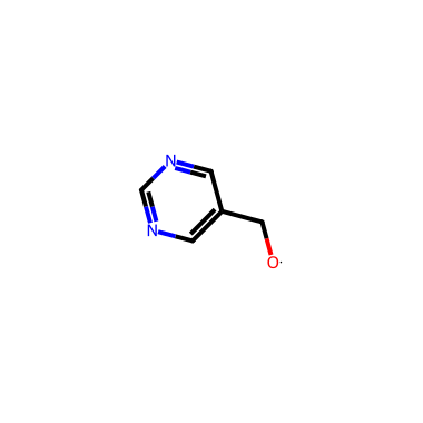 [O]Cc1cncnc1